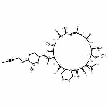 CC#CCOC1CCC(C=C(C)C2OC(=O)C3CCCCN3C(=O)C(=O)C3(O)OC(C(OC)CC(C)C/C(C)=C/C(CC)C(=O)CC(O)C2C)C(OC)CC3C)CC1O